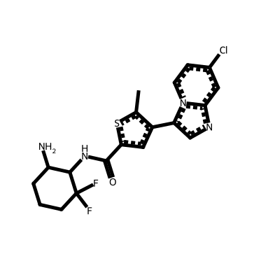 Cc1sc(C(=O)NC2C(N)CCCC2(F)F)cc1-c1cnc2cc(Cl)ccn12